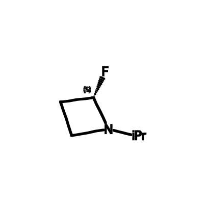 CC(C)N1CC[C@@H]1F